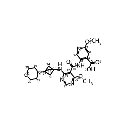 COc1cc(C(=O)O)c(NC(=O)c2c(NC34CC(N5CCOCC5)(C3)C4)ncnc2OC)cn1